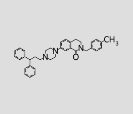 Cc1ccc(CN2CCc3ccc(N4CCN(CCC(c5ccccc5)c5ccccc5)CC4)cc3C2=O)cc1